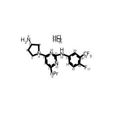 CCCc1cc(N2CC[C@H](N)C2)nc(Nc2ccc(F)c(C(F)(F)F)c2)n1.Cl.Cl